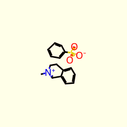 C[N+]1=Cc2ccccc2CC1.O=S(=O)([O-])c1ccccc1